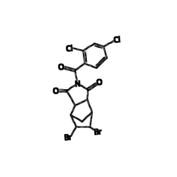 O=C(c1ccc(Cl)cc1Cl)N1C(=O)C2C3CC(C(Br)C3Br)C2C1=O